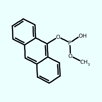 COP(O)Oc1c2ccccc2cc2ccccc12